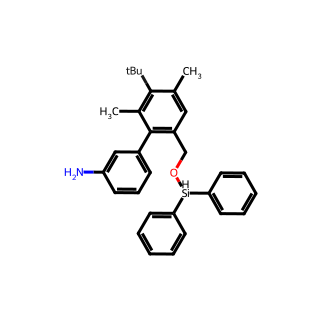 Cc1cc(CO[SiH](c2ccccc2)c2ccccc2)c(-c2cccc(N)c2)c(C)c1C(C)(C)C